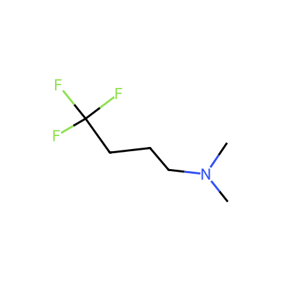 CN(C)CCCC(F)(F)F